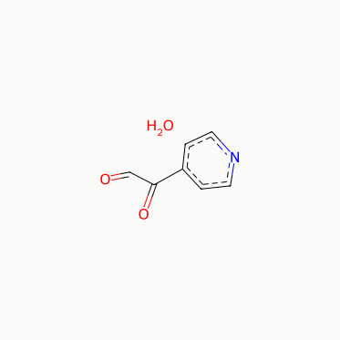 O.O=CC(=O)c1ccncc1